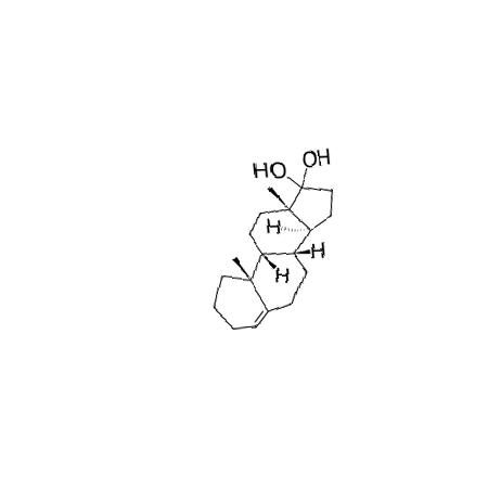 C[C@]12CCCC=C1CC[C@@H]1[C@H]2CC[C@@]2(C)[C@H]1CCC2(O)O